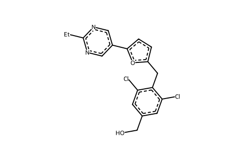 CCc1ncc(-c2ccc(Cc3c(Cl)cc(CO)cc3Cl)o2)cn1